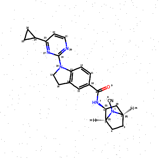 N#CN1[C@@H]2CC[C@H]1[C@@H](NC(=O)c1ccc3c(c1)CCN3c1nccc(C3CC3)n1)C2